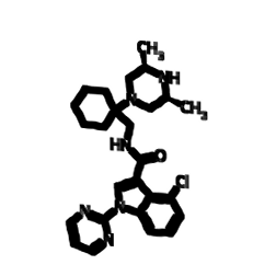 C[C@@H]1CN(C2(CNC(=O)c3cn(-c4ncccn4)c4cccc(Cl)c34)CCCCC2)C[C@H](C)N1